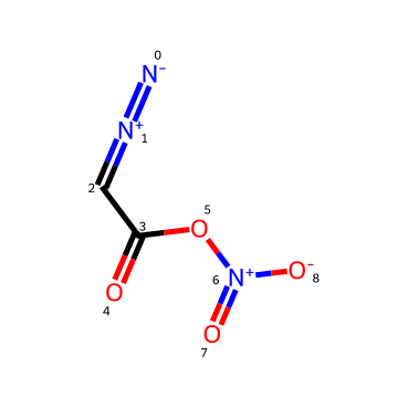 [N-]=[N+]=CC(=O)O[N+](=O)[O-]